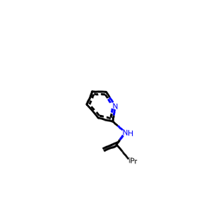 C=C(Nc1ccccn1)C(C)C